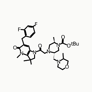 CC1COCCN1C[C@H]1CN(C(=O)OC(C)(C)C)[C@H](C)CN1CC(=O)N1CC(C)(C)c2c1cc(Cc1ccc(F)cc1F)c(=O)n2C